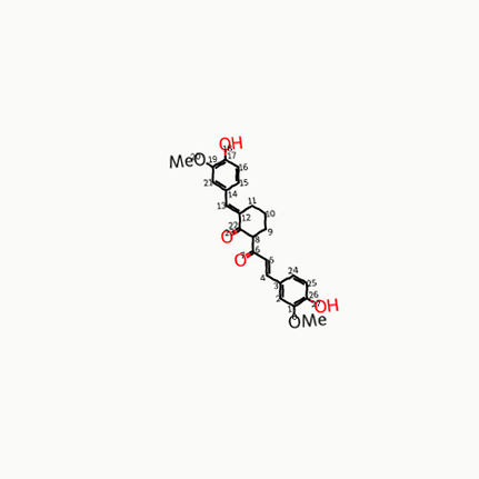 COc1cc(C=CC(=O)C2CCCC(=Cc3ccc(O)c(OC)c3)C2=O)ccc1O